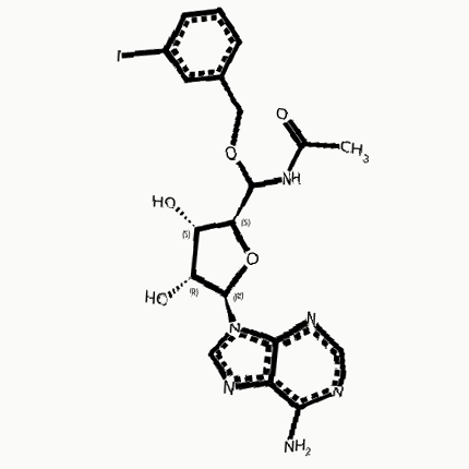 CC(=O)NC(OCc1cccc(I)c1)[C@H]1O[C@@H](n2cnc3c(N)ncnc32)[C@H](O)[C@@H]1O